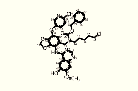 COc1cc2ncnc(Nc3c(CN(CCCCCCl)C(=O)OCc4ccccc4)cc(Oc4ccc(C)nc4)c4c3OCO4)c2cc1O